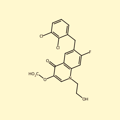 O=C(O)Oc1cn(CCO)c2cc(F)c(Cc3cccc(Cl)c3Cl)cc2c1=O